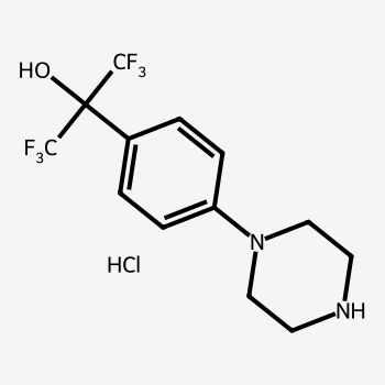 Cl.OC(c1ccc(N2CCNCC2)cc1)(C(F)(F)F)C(F)(F)F